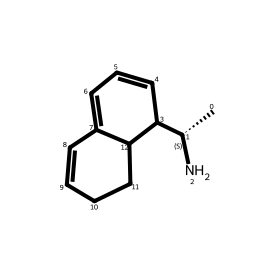 C[C@H](N)C1C=CC=C2C=CCCC21